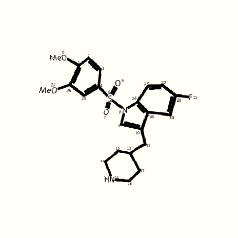 COc1ccc(S(=O)(=O)n2cc(CC3CCNCC3)c3cc(F)ccc32)cc1OC